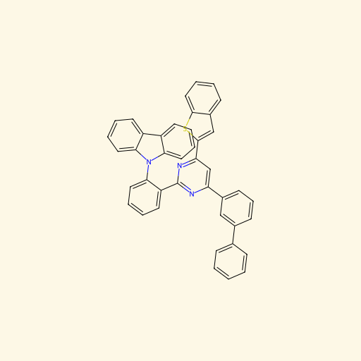 c1ccc(-c2cccc(-c3cc(-c4cc5ccccc5s4)nc(-c4ccccc4-n4c5ccccc5c5ccccc54)n3)c2)cc1